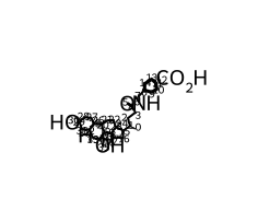 C[C@H](CCC(=O)NCc1ccc(C(=O)O)cc1)C1CCC2[C@H]3C(CC[C@@]21C)[C@@]1(C)CC[C@@H](O)C[C@H]1C[C@@H]3O